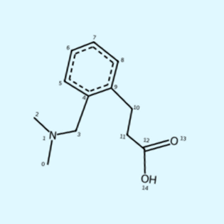 CN(C)Cc1ccccc1CCC(=O)O